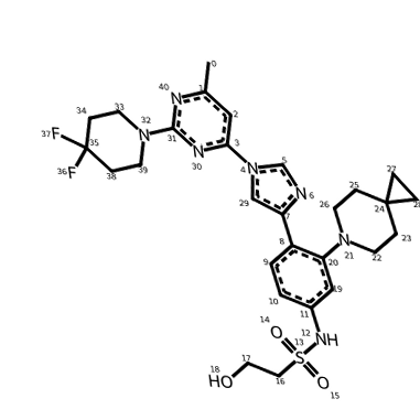 Cc1cc(-n2cnc(-c3ccc(NS(=O)(=O)CCO)cc3N3CCC4(CC3)CC4)c2)nc(N2CCC(F)(F)CC2)n1